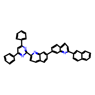 c1ccc(-c2cc(-c3ccccc3)nc(-c3ccc4ccc(-c5ccc6ccc(-c7ccc8ccccc8c7)nc6c5)cc4n3)n2)cc1